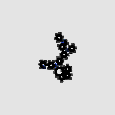 C=C1/C=C(N(c2ccc(-c3ccc4c(c3)c3ccc5c(ccn5-c5ccccc5)c3n4-c3ccccc3)cc2)c2ccc(-c3ccccn3)cc2)\C=C/Cc2ccccc2C1(c1ccccc1)c1ccccc1